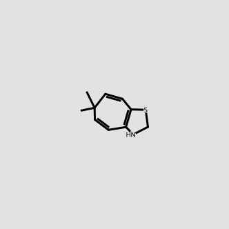 CC1(C)C=CC2=C(C=C1)SCN2